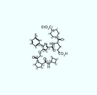 CCOC(=O)N1CCN(C(=O)C(CCC(=O)O)NC(=O)c2cc(OCC(=O)N3CCCC3C(=O)NC3CCC3)n(-c3cccc(F)c3)n2)CC1